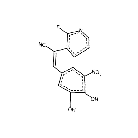 N#CC(=Cc1cc(O)c(O)c([N+](=O)[O-])c1)c1cccnc1F